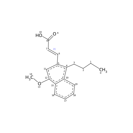 CCCCc1c(/C=C/C(=O)O)cc(OC)c2ccccc12